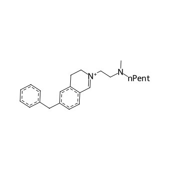 CCCCCN(C)CC[N+]1=Cc2ccc(Cc3ccccc3)cc2CC1